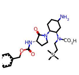 C[Si](C)(C)CCN(C(=O)O)[C@@H]1CC(N)CC[C@@H]1N1CC[C@H](NC(=O)OCc2ccccc2)C1=O